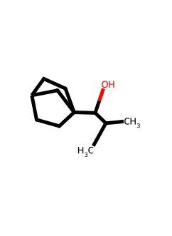 CC(C)C(O)C12CCC(CC1)C2